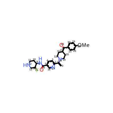 C=C(c1ccc(C(=O)NC2CCNC[C@H]2F)cn1)N1CCC(C(=O)c2ccc(OC)cc2)CC1